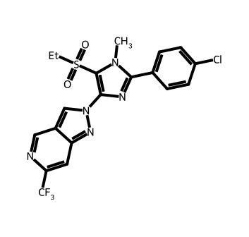 CCS(=O)(=O)c1c(-n2cc3cnc(C(F)(F)F)cc3n2)nc(-c2ccc(Cl)cc2)n1C